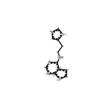 c1nc(NCCc2cncs2)c2ccsc2n1